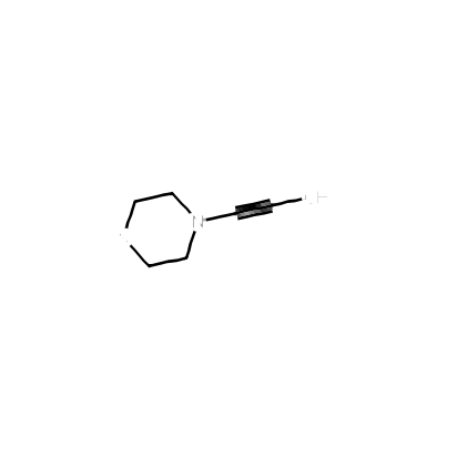 CC#CN1CCSCC1